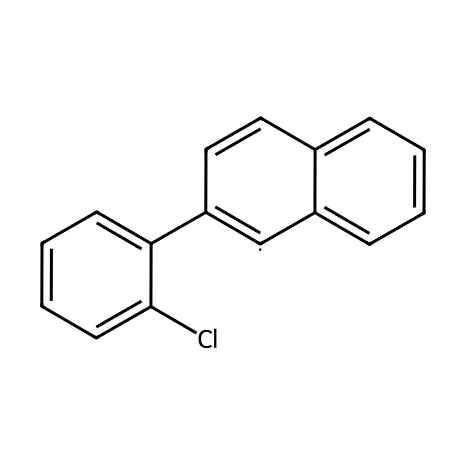 Clc1ccccc1-c1[c]c2ccccc2cc1